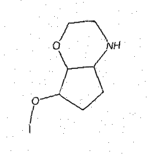 IOC1CCC2NCCOC21